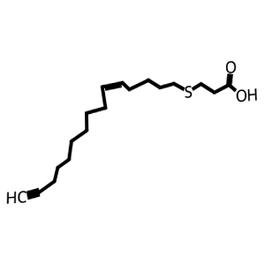 C#CCCCCCCC/C=C\CCCCSCCC(=O)O